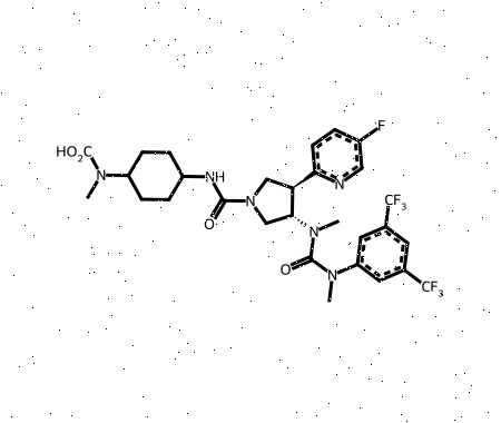 CN(C(=O)N(C)[C@@H]1CN(C(=O)NC2CCC(N(C)C(=O)O)CC2)C[C@H]1c1ccc(F)cn1)c1cc(C(F)(F)F)cc(C(F)(F)F)c1